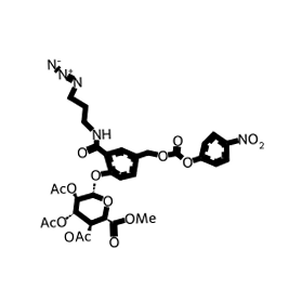 COC(=O)[C@H]1O[C@@H](Oc2ccc(COC(=O)Oc3ccc([N+](=O)[O-])cc3)cc2C(=O)NCCCN=[N+]=[N-])[C@H](OC(C)=O)[C@@H](OC(C)=O)[C@@H]1OC(C)=O